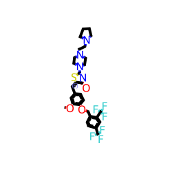 COc1cc(/C=C2/SC(N3CCN(CCN4CCCC4)CC3)=NC2=O)ccc1OCc1ccc(C(F)(F)F)cc1C(F)(F)F